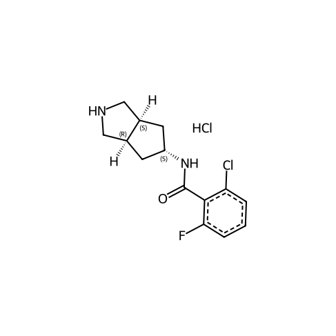 Cl.O=C(N[C@@H]1C[C@H]2CNC[C@H]2C1)c1c(F)cccc1Cl